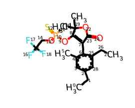 CCc1cc(C)c(C2=C(OP(C)(=S)OCC(F)(F)F)C(C)(C)OC2=O)c(CC)c1